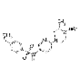 C=Cc1ccc(S(=O)(=O)Nc2ccc(N3CCN(CCC)C(C)C3)nc2)cc1